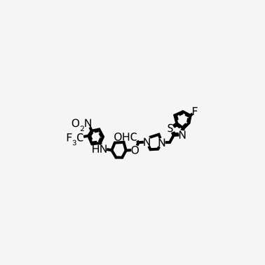 O=CC(OC1CCC(Nc2ccc([N+](=O)[O-])c(C(F)(F)F)c2)CC1)N1CCN(Cc2nc3cc(F)ccc3s2)CC1